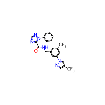 O=C(NCc1cc(-n2cc(C(F)(F)F)cn2)cc(C(F)(F)F)c1)c1ncnn1-c1ccccc1